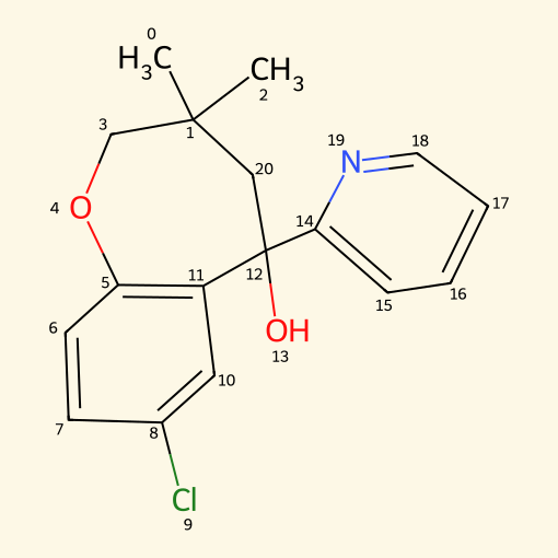 CC1(C)COc2ccc(Cl)cc2C(O)(c2ccccn2)C1